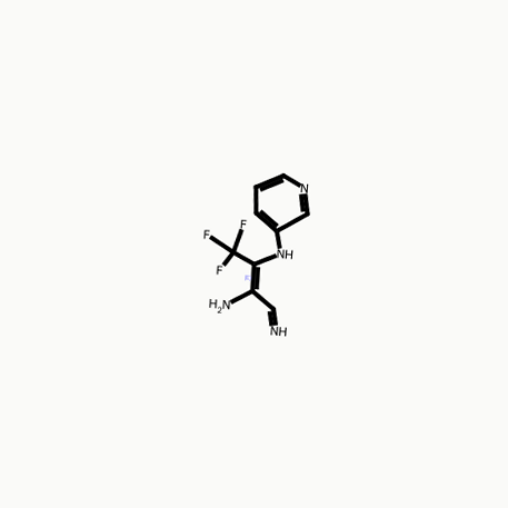 N=C/C(N)=C(\Nc1cccnc1)C(F)(F)F